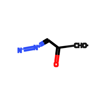 [N-]=[N+]=CC(=O)[C]=O